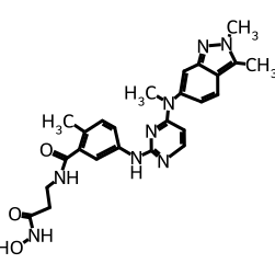 Cc1ccc(Nc2nccc(N(C)c3ccc4c(C)n(C)nc4c3)n2)cc1C(=O)NCCC(=O)NO